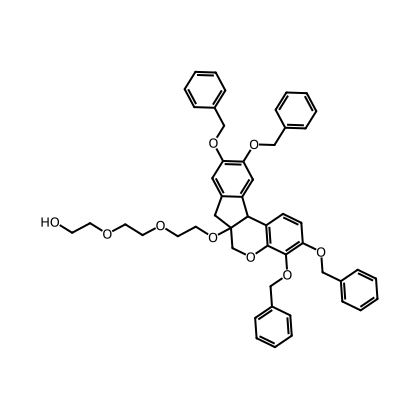 OCCOCCOCCOC12COc3c(ccc(OCc4ccccc4)c3OCc3ccccc3)C1c1cc(OCc3ccccc3)c(OCc3ccccc3)cc1C2